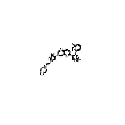 Cc1cccc(-c2n[nH]cc2-c2ccc3ncc(-c4cn(CCN5CCOCC5)nn4)cc3n2)n1